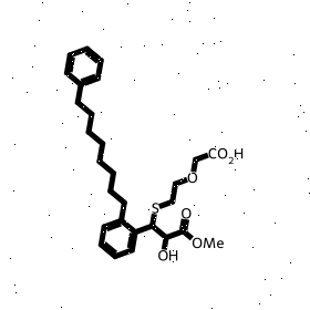 COC(=O)C(O)C(SCCOCC(=O)O)c1ccccc1CCCCCCCCc1ccccc1